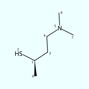 C[C@@H](S)CCN(C)C